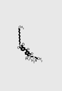 CCCCCCCCCCCCN1C(=O)c2ccc(C(=O)c3ccc4c(c3)C(=O)N(C(C)COCC(C)N)C4=O)cc2C1=O